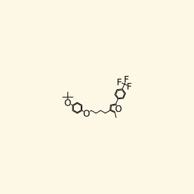 Cc1oc(-c2ccc(C(F)(F)F)cc2)cc1CCCCOc1ccc(OC(C)(C)C)cc1